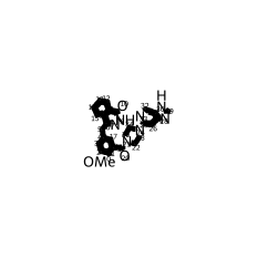 COc1ccc(Cc2n[nH]c(=O)c3ccccc23)cc1C(=O)N1CCN(c2cc3nc[nH]c3cn2)CC1